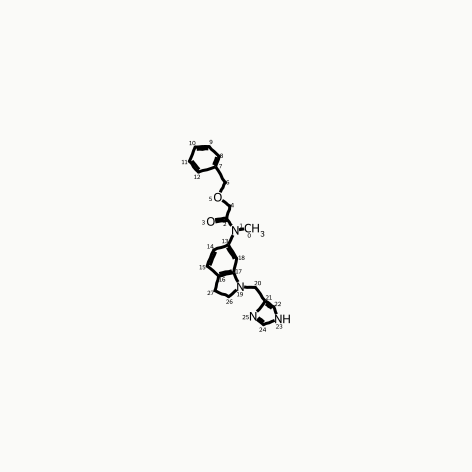 CN(C(=O)COCc1ccccc1)c1ccc2c(c1)N(Cc1c[nH]cn1)CC2